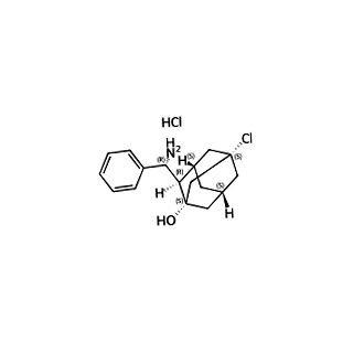 Cl.N[C@@H](c1ccccc1)[C@H]1[C@H]2C[C@@H]3C[C@](Cl)(C2)C[C@@]1(O)C3